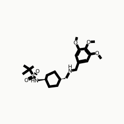 COc1cc(CNC[C@H]2CC[C@H](NS(=O)(=O)C(C)(C)C)CC2)cc(OC)c1OC